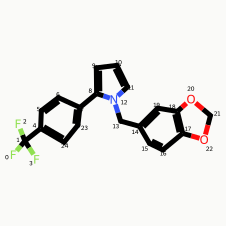 FC(F)(F)c1ccc(-c2c[c]cn2Cc2ccc3c(c2)OCO3)cc1